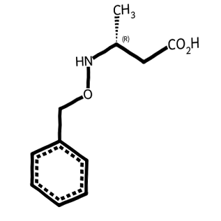 C[C@H](CC(=O)O)NOCc1ccccc1